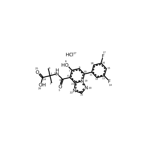 CC(C)(NC(=O)c1c(O)cc(-c2cc(F)cc(F)c2)n2ncnc12)C(=O)O.Cl